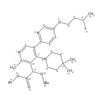 Cc1ncc(-c2ccc(OCCC(C)F)cn2)c(N2CCC(C)(C)CC2)c1C(OC(C)(C)C)C(=O)OC(C)C